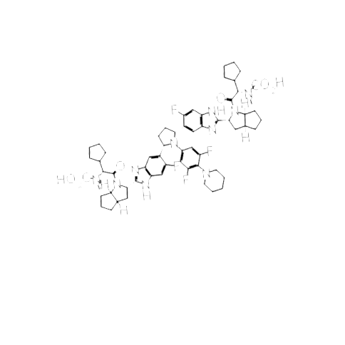 CN(C(=O)O)[C@H](C(=O)N1[C@H](c2nc3cc([C@H]4CC[C@H](c5cc6nc([C@@H]7C[C@@H]8CCC[C@@H]8N7C(=O)[C@H](C7CCCC7)N(C)C(=O)O)[nH]c6cc5F)N4c4cc(F)c(N5CCCCC5)c(F)c4)c(F)cc3[nH]2)C[C@@H]2CCC[C@@H]21)C1CCCC1